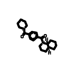 O=C(c1ccc(C(=O)N2CCC[C@@H]3CCCC[C@H]32)cc1)N1CCCCC1